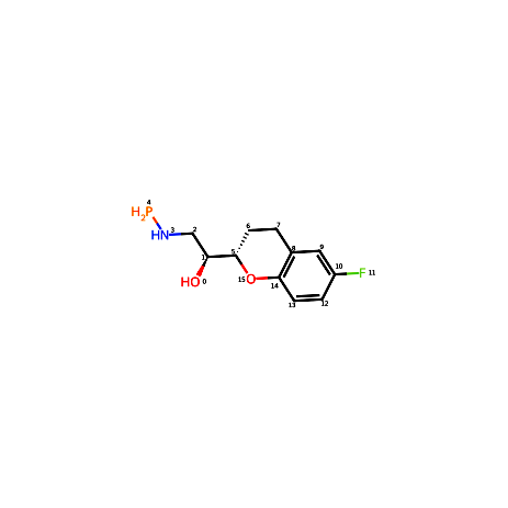 O[C@@H](CNP)[C@@H]1CCc2cc(F)ccc2O1